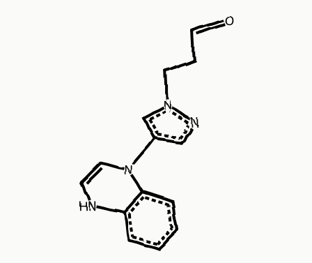 O=CCCn1cc(N2C=CNc3ccccc32)cn1